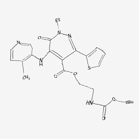 CCn1nc(-c2cccs2)c(C(=O)OCCNC(=O)OC(C)(C)C)c(Nc2cnccc2C)c1=O